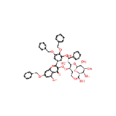 C[C@H](O)[C@@H](O)[C@H](O[C@@H]1O[C@H](CO)[C@H](O)[C@H](O)[C@H]1O)[C@@H](CCO)OOc1c(-c2cc(OCc3ccccc3)c(OCc3ccccc3)c(OCc3ccccc3)c2)oc2cc(OCc3ccccc3)cc(O)c2c1=O